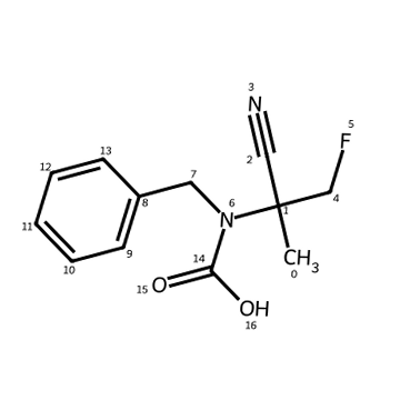 CC(C#N)(CF)N(Cc1ccccc1)C(=O)O